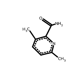 Cc1ccc(C)c(C(N)=O)n1